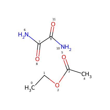 CCOC(C)=O.NC(=O)C(N)=O